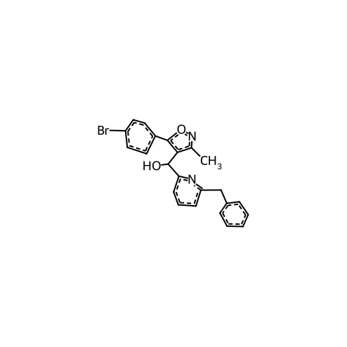 Cc1noc(-c2ccc(Br)cc2)c1C(O)c1cccc(Cc2ccccc2)n1